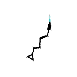 FC#CC=CCCC1[CH]C1